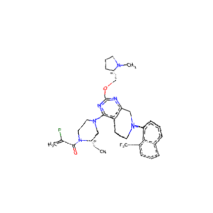 C=C(F)C(=O)N1CCN(c2nc(OC[C@@H]3CCCN3C)nc3c2CCN(c2cccc4cccc(C(F)(F)F)c24)C3)C[C@@H]1CC#N